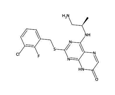 C[C@H](CN)Nc1nc(SCc2cccc(Cl)c2F)nc2[nH]c(=O)cnc12